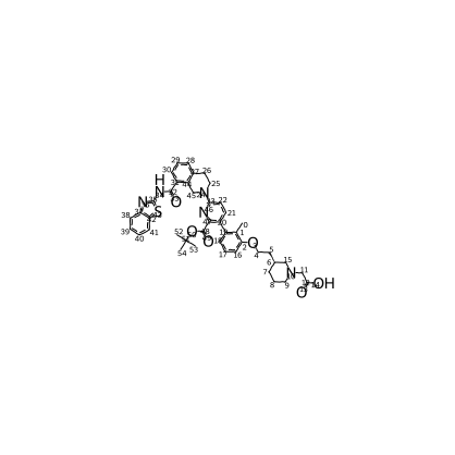 Cc1c(OCC[C@@H]2CCCN(CC(=O)O)C2)cccc1-c1ccc(N2CCc3cccc(C(=O)Nc4nc5ccccc5s4)c3C2)nc1C(=O)OC(C)(C)C